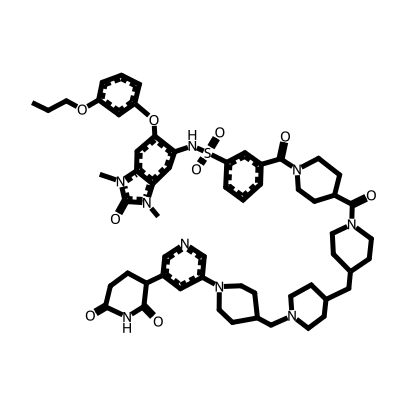 CCCOc1cccc(Oc2cc3c(cc2NS(=O)(=O)c2cccc(C(=O)N4CCC(C(=O)N5CCC(CC6CCN(CC7CCN(c8cncc(C9CCC(=O)NC9=O)c8)CC7)CC6)CC5)CC4)c2)n(C)c(=O)n3C)c1